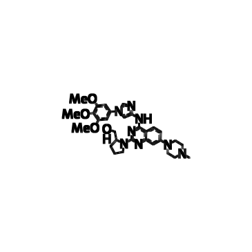 COc1cc(-n2cnc(Nc3nc(N4CCCC4CO)nc4cc(N5CCN(C)CC5)ccc34)c2)cc(OC)c1OC